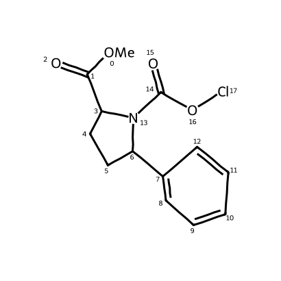 COC(=O)C1CCC(c2ccccc2)N1C(=O)OCl